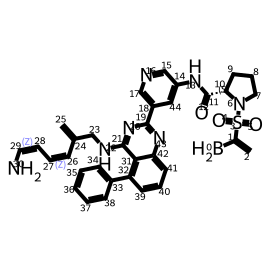 BC(=C)S(=O)(=O)N1CCC[C@H]1C(=O)Nc1cncc(-c2nc(NCC(=C)/C=C\C=C/N)c3c(-c4ccccc4)cccc3n2)c1